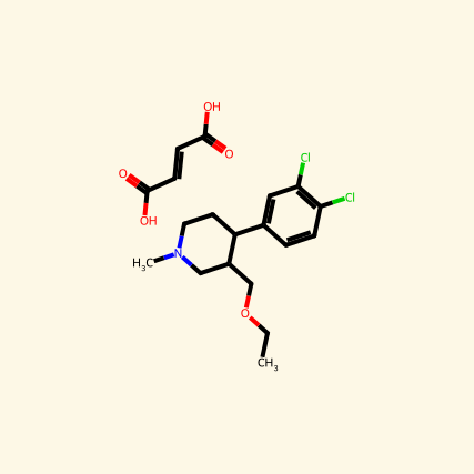 CCOCC1CN(C)CCC1c1ccc(Cl)c(Cl)c1.O=C(O)C=CC(=O)O